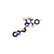 CC(C)N(c1nn(-c2ccc(-c3cn4ccccc4n3)s2)cc1C(=O)O)C(=O)[C@H]1CC[C@H](C)CC1